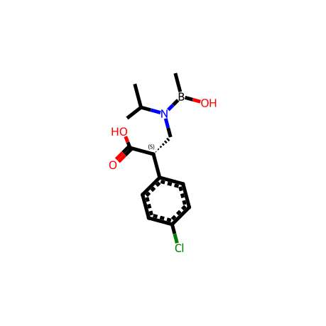 CB(O)N(C[C@@H](C(=O)O)c1ccc(Cl)cc1)C(C)C